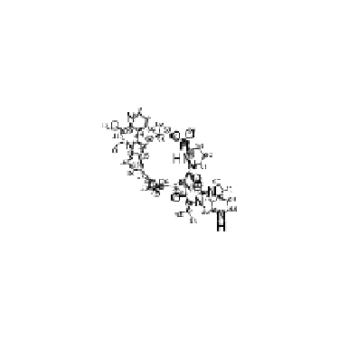 CCn1c(-c2cccnc2[C@H](C)OC)c2c3cc(ccc31)-c1csc(n1)C[C@H](NC(=O)[C@H](C(C)C)N(C)C(=O)N1CCC13CCNCC3)C(=O)N1CCC[C@H](N1)C(=O)OCC(C)(C)C2